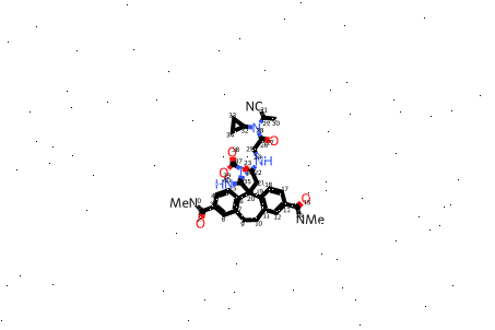 CNC(=O)c1ccc2c(c1)CCc1cc(C(=O)NC)ccc1C2(C[C@@H](C)NCC(=O)N(C(C)C#N)C1CC1)c1nc(=O)o[nH]1